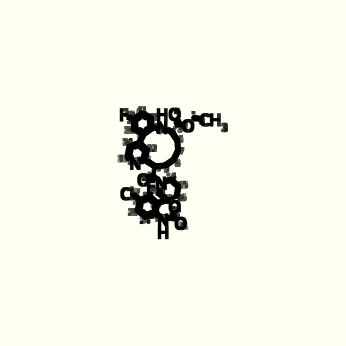 CCOC(=O)[C@@H]1CCCC[C@@H](C(=O)N2CCC[C@@]3(C2)OC(=O)Nc2ccc(Cl)c(F)c23)c2cc(ccn2)-c2cc(F)ccc2N1